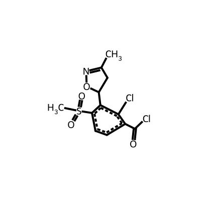 CC1=NOC(c2c(S(C)(=O)=O)ccc(C(=O)Cl)c2Cl)C1